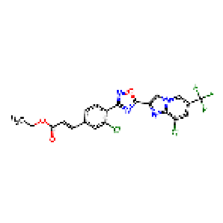 CCOC(=O)/C=C/c1ccc(-c2noc(-c3cn4cc(C(F)(F)F)cc(Cl)c4n3)n2)c(Cl)c1